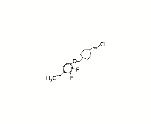 CCCc1ccc(OCC2CCC(/C=C/Cl)CC2)c(F)c1F